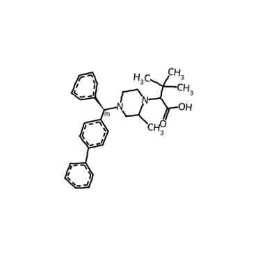 CC1CN([C@H](c2ccccc2)c2ccc(-c3ccccc3)cc2)CCN1C(C(=O)O)C(C)(C)C